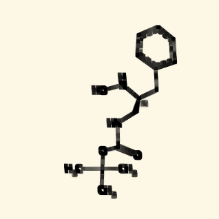 CC(C)(C)OC(=O)NC[C@H](Cc1ccccc1)NO